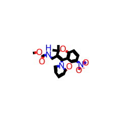 COC(=O)NCC1=C(n2ccccc2=O)c2cc([N+](=O)[O-])ccc2OC1(C)C